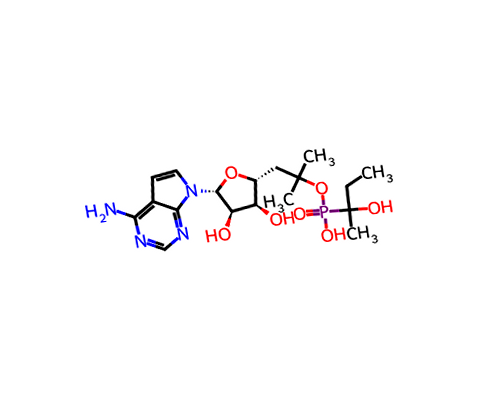 CCC(C)(O)P(=O)(O)OC(C)(C)C[C@H]1O[C@@H](n2ccc3c(N)ncnc32)[C@H](O)[C@@H]1O